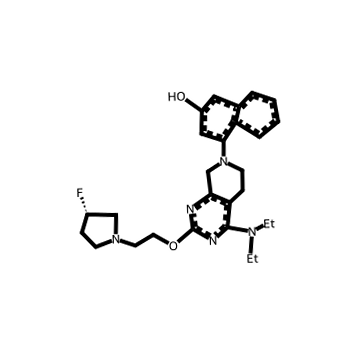 CCN(CC)c1nc(OCCN2CC[C@H](F)C2)nc2c1CCN(c1cc(O)cc3ccccc13)C2